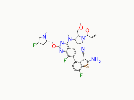 C=CC(=O)N1CCC(N(C)c2nc(OC[C@@H]3C[C@@H](F)CN3C)nc3c(F)c(-c4ccc(F)c5sc(N)c(C#N)c45)ccc23)C1COC